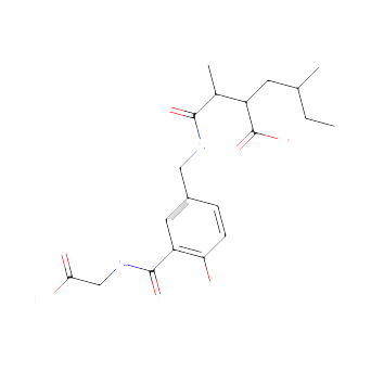 CCC(C)CC(C(=O)O)C(C)C(=O)NCc1ccc(O)c(C(=O)NCC(=O)O)c1